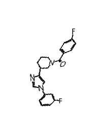 O=C(c1ccc(F)cc1)N1CCCC(c2cn(-c3cccc(F)c3)cn2)C1